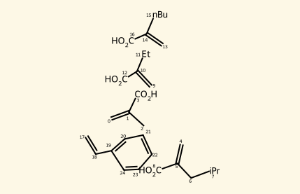 C=C(C)C(=O)O.C=C(CC(C)C)C(=O)O.C=C(CC)C(=O)O.C=C(CCCC)C(=O)O.C=Cc1ccccc1